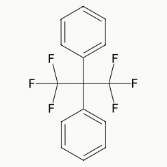 FC(F)(F)C(c1ccccc1)(c1ccccc1)C(F)(F)F